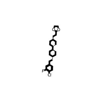 Fc1cc(CC[C@H]2CC[C@H]([C@H]3CC[C@H](CCC4OCCO4)CC3)CC2)ccc1Cl